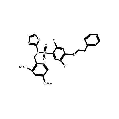 COc1ccc(CN(c2nccs2)S(=O)(=O)c2cc(Cl)c(SCCc3ccccc3)cc2F)c(OC)c1